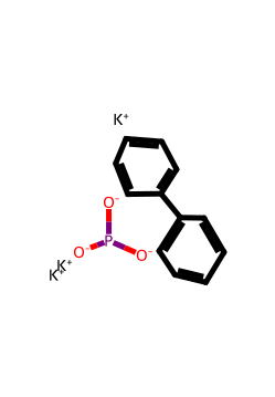 [K+].[K+].[K+].[O-]P([O-])[O-].c1ccc(-c2ccccc2)cc1